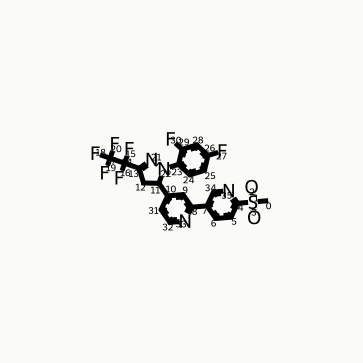 CS(=O)(=O)c1ccc(-c2cc(C3CC(C(F)(F)C(F)(F)F)=NN3c3ccc(F)cc3F)ccn2)cn1